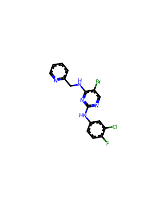 Fc1ccc(Nc2ncc(Br)c(NCc3ccccn3)n2)cc1Cl